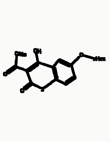 CCCCCCOc1ccc2sc(=O)c(C(=O)OC)c(O)c2c1